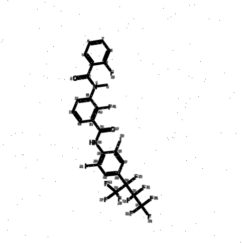 CN(C(=O)c1ccccc1F)c1cccc(C(=O)Nc2c(I)cc(C(F)(C(F)(F)F)C(F)(F)C(F)(F)F)cc2I)c1F